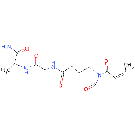 C/C=C\C(=O)N(C=O)CCCC(=O)NCC(=O)NC(C)C(N)=O